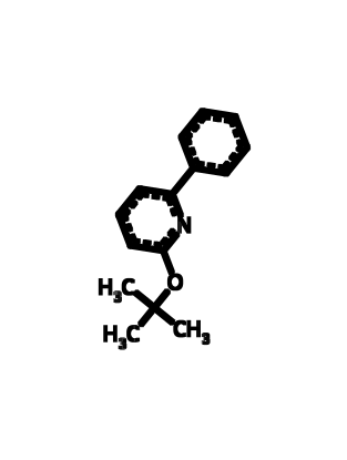 CC(C)(C)Oc1cccc(-c2ccccc2)n1